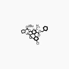 Cc1nc2c(c(-c3ccc(Cl)cc3Cl)c1C(=O)OCc1ccccc1)C(=O)N(C[C@@H]1CCCN1C(=O)OC(C)(C)C)C2